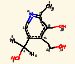 [2H]C([2H])(O)c1cnc(C)c(O)c1CO